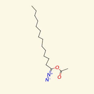 CCCCCCCCCCCCCC(=[N+]=[N-])OC(C)=O